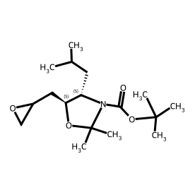 CC(C)C[C@H]1[C@H](CC2CO2)OC(C)(C)N1C(=O)OC(C)(C)C